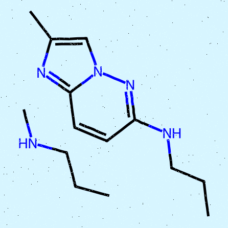 CCCNC.CCCNc1ccc2nc(C)cn2n1